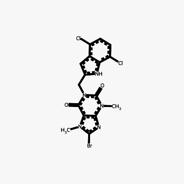 Cn1c(Br)nc2c1c(=O)n(Cc1cc3c(Cl)ccc(Cl)c3[nH]1)c(=O)n2C